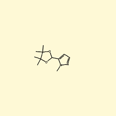 Cn1nccc1C1OC(C)(C)C(C)(C)O1